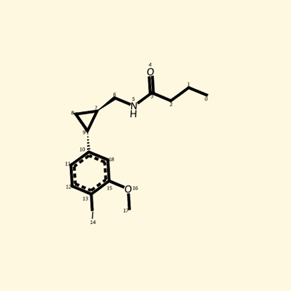 CCCC(=O)NC[C@@H]1C[C@H]1c1ccc(I)c(OC)c1